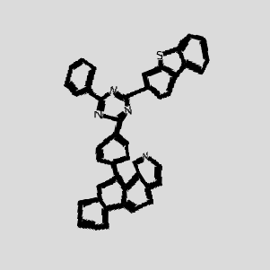 c1ccc(-c2nc(-c3ccc(-c4cc5ccccc5c5ccc6ccncc6c45)cc3)nc(-c3ccc4c(c3)sc3ccccc34)n2)cc1